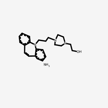 N.OCCN1CCN(CCCN2c3ccccc3C=Cc3ccccc32)CC1